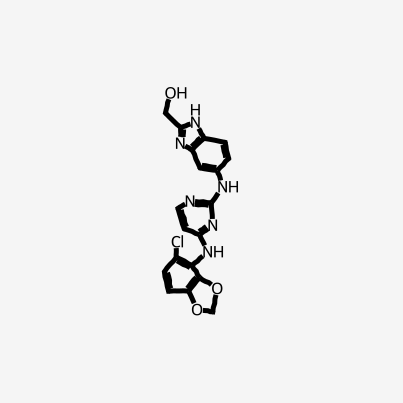 OCc1nc2cc(Nc3nccc(Nc4c(Cl)ccc5c4OCO5)n3)ccc2[nH]1